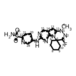 CN1N=C(F)C2(CCCCC2)n2c1cc1cnc(Nc3ccc(S(N)(=O)=O)nc3)nc12